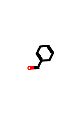 O=[C]C1=CCC=CC1